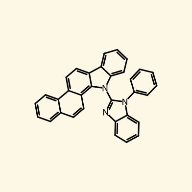 c1ccc(-n2c(-n3c4ccccc4c4ccc5c6ccccc6ccc5c43)nc3ccccc32)cc1